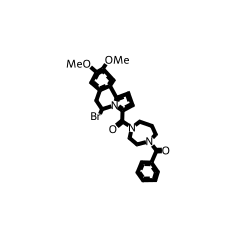 COc1cc2c(cc1OC)-c1ccc(C(=O)N3CCCN(C(=O)c4ccccc4)CC3)n1C(Br)C2